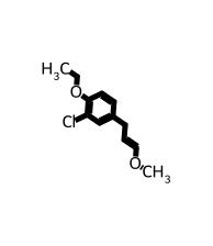 CCOc1ccc(C/C=C/OC)cc1Cl